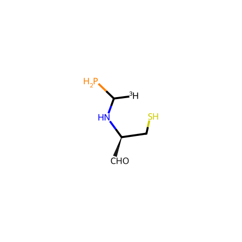 [3H]C(P)N[C@H](C=O)CS